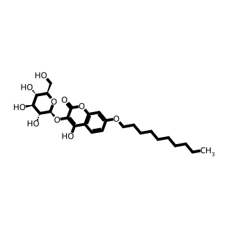 CCCCCCCCCCOc1ccc2c(O)c(O[C@@H]3O[C@H](CO)[C@@H](O)[C@H](O)[C@H]3O)c(=O)oc2c1